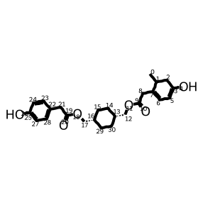 CC1CC(O)=CC=C1CC(=O)OC[C@H]1CC[C@@H](COC(=O)Cc2ccc(O)cc2)CC1